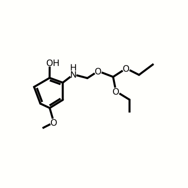 CCOC(OCC)OCNc1cc(OC)ccc1O